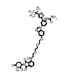 CC(C)(C)c1cc(-c2cc(-n3cnc4cc(OCCOCCOCCNc5cccc6c5C(=O)N(C5CCC(=O)NC5=O)C6=O)ccc43)ccc2NC(N)=O)no1